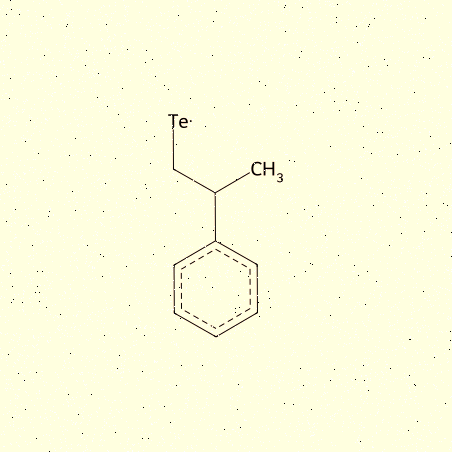 CC(C[Te])c1ccccc1